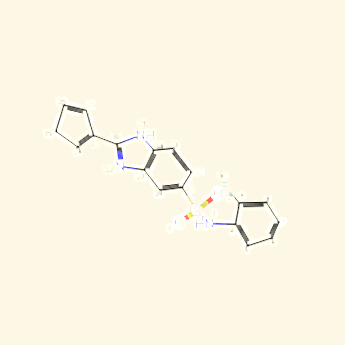 O=S(=O)(Nc1ccccc1F)c1ccc2[nH]c(C3=CCC=C3)nc2c1